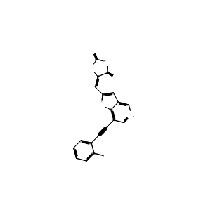 Cc1ccccc1C#Cc1cncc2cc(C=C3SC(=S)NC3=O)oc12